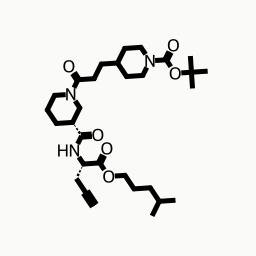 C#CC[C@H](NC(=O)[C@@H]1CCCN(C(=O)CCC2CCN(C(=O)OC(C)(C)C)CC2)C1)C(=O)OCCCC(C)C